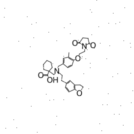 Cc1cc(CN(CCc2ccc3c(c2)CCO3)CC2(C(=O)O)CCCCC2)ccc1OCCN1C(=O)CCC1=O